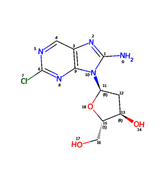 Nc1nc2cnc(Cl)nc2n1[C@H]1C[C@@H](O)[C@H](CO)O1